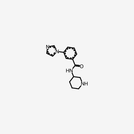 O=C(NC1CCCNC1)c1cccc(-n2ccnc2)c1